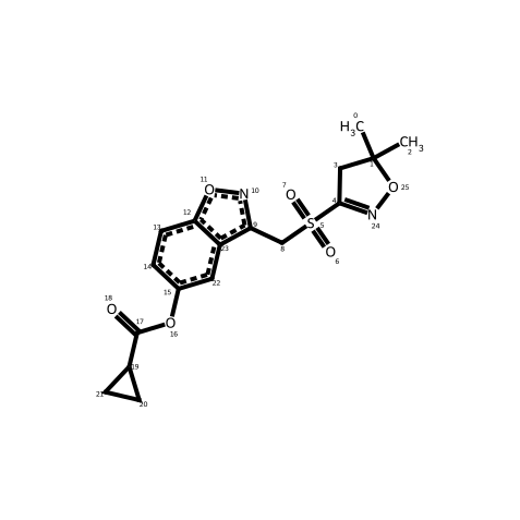 CC1(C)CC(S(=O)(=O)Cc2noc3ccc(OC(=O)C4CC4)cc23)=NO1